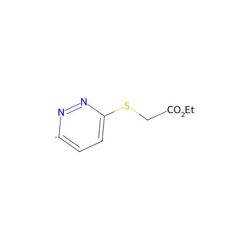 CCOC(=O)CSc1cc[c]nn1